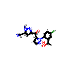 CC(O)c1cc(F)ccc1-n1nccc1C(=O)c1cc(C#N)n(C)n1